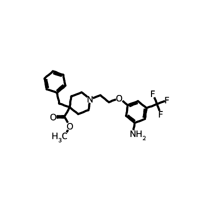 COC(=O)C1(Cc2ccccc2)CCN(CCOc2cc(N)cc(C(F)(F)F)c2)CC1